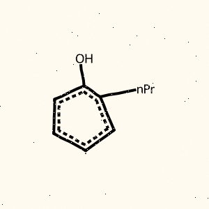 CCCc1c[c]ccc1O